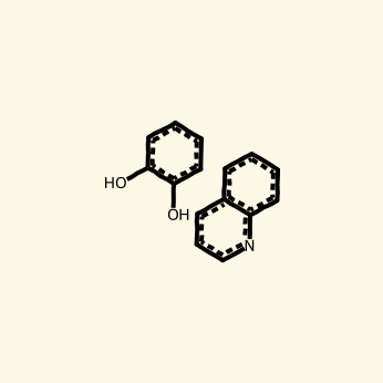 Oc1ccccc1O.c1ccc2ncccc2c1